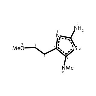 CNc1sc(N)nc1CCOC